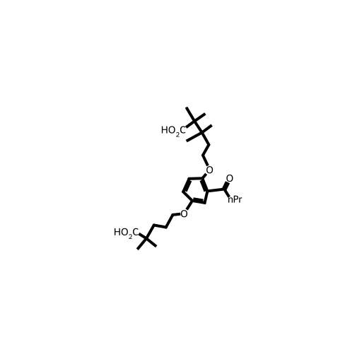 CCCC(=O)c1cc(OCCCC(C)(C)C(=O)O)ccc1OCCC(C)(C)C(C)(C)C(=O)O